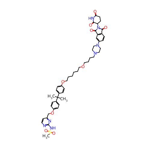 CC(C)(c1ccc(OCCCCCCOCCCCN2CCN(c3ccc4c(c3)C(=O)N(C3CCC(=O)NC3=O)C4=O)CC2)cc1)c1ccc(OCc2ccnc(NS(C)(=O)=O)n2)cc1